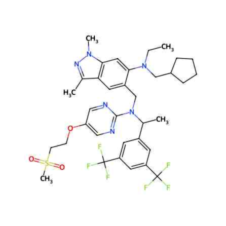 CCN(CC1CCCC1)c1cc2c(cc1CN(c1ncc(OCCS(C)(=O)=O)cn1)C(C)c1cc(C(F)(F)F)cc(C(F)(F)F)c1)c(C)nn2C